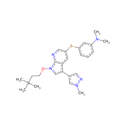 CN(C)c1cccc(Sc2cnc3c(c2)c(-c2cnn(C)c2)cn3OCC[Si](C)(C)C)c1